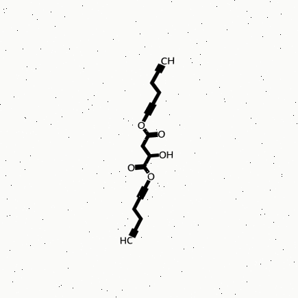 C#CCCC#COC(=O)CC(O)C(=O)OC#CCCC#C